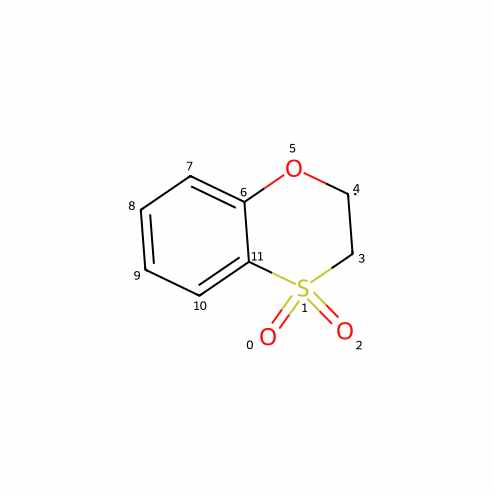 O=S1(=O)C[CH]Oc2ccccc21